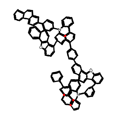 c1ccc(-c2ccc(-c3ccccc3N(c3cccc(-c4cccc5oc6c7cc(-c8ccc(-c9ccc(-c%10ccccc%10N(c%10ccc(-c%11ccc%12c(ccc%13ccccc%13%12)c%11)cc%10)c%10cccc(-c%11cccc%12oc%13c%14ccccc%14ccc%13c%11%12)c%10)cc9)cc8)ccc7ccc6c45)c3)c3ccccc3-c3ccccc3)cc2)cc1